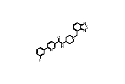 O=C(NC1CCN(Cc2cccc3nsnc23)CC1)c1ccc(-c2cccc(F)c2)nc1